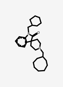 O=C1N(CC2CCCCC2)c2ccccc2C12CCN(CC1CCCCCCC1)CC2